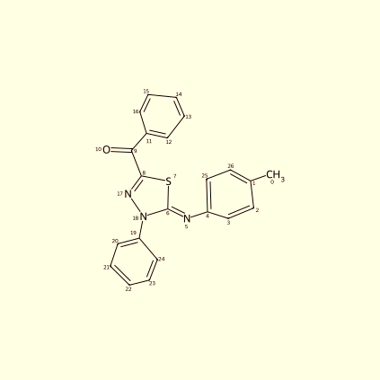 Cc1ccc(/N=c2\sc(C(=O)c3ccccc3)nn2-c2ccccc2)cc1